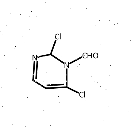 O=CN1C(Cl)=CC=NC1Cl